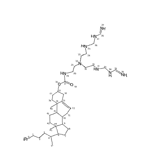 CC(C)CCCC(C)C1CCC2C3CC=C4CC(OC(=O)NCCN(CCNCNC=N)CCNCNC=N)CCC4(C)C3CCC12C